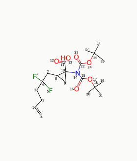 C=CCCC(F)(F)CC1CC1(C(=O)O)N(C(=O)OC(C)(C)C)C(=O)OC(C)(C)C